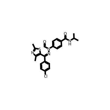 Cc1nc(C)c(/C(=N\N(C=O)c2ccc(C(=O)NC(C)C)cc2)c2ccc(Cl)cc2)s1